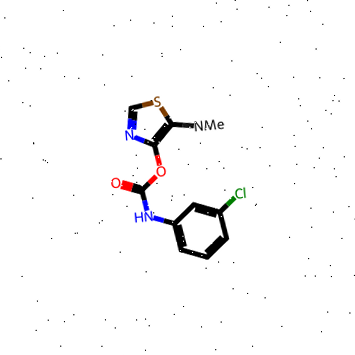 CNc1scnc1OC(=O)Nc1cccc(Cl)c1